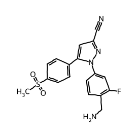 CS(=O)(=O)c1ccc(-c2cc(C#N)nn2-c2ccc(CN)c(F)c2)cc1